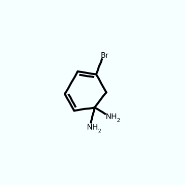 NC1(N)C=CC=C(Br)C1